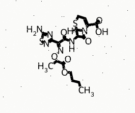 CCCCOC(=O)C(C)ON=C(C(=O)NC1C(=O)N2C(C(=O)O)=CCS[C@@H]12)c1nsc(N)n1